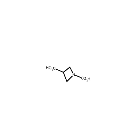 O=C(O)C1CN(C(=O)O)C1